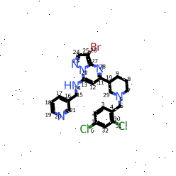 Clc1ccc(CN2CCCC(c3cc(NCc4cccnc4)n4ncc(Br)c4n3)C2)c(Cl)c1